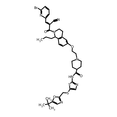 CCCC1c2ccc(OCCN3CCC(C(=O)Nc4ncc(SCc5ncc(C(C)(C)C)o5)s4)CC3)cc2CCN1C(=O)/C(C#N)=C/c1cccc(Br)n1